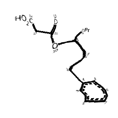 CCCC(CCc1ccccc1)OC(=O)CC(=O)O